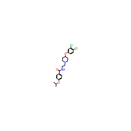 CC(C)Oc1ccc(C(=O)NCCN2CCC(Oc3ccc(Cl)c(Cl)c3)CC2)cc1